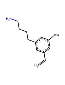 C=Cc1cc(CCCCN)cc(C(C)(C)C)c1